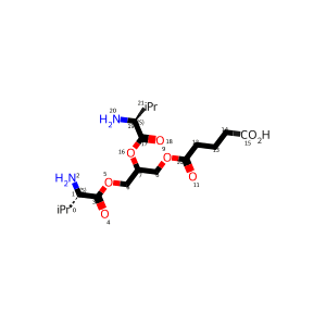 CC(C)[C@H](N)C(=O)OCC(COC(=O)CCCC(=O)O)OC(=O)[C@@H](N)C(C)C